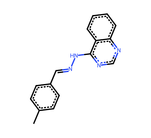 Cc1ccc(/C=N/Nc2ncnc3ccccc23)cc1